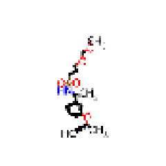 C#C[C@H](C)Oc1cccc([C@@H](C)NS(=O)(=O)CCCOCOC)c1